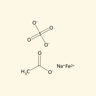 CC(=O)[O-].O=S(=O)([O-])[O-].[Fe+2].[Na+]